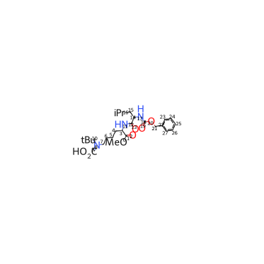 COC(=O)[C@@H](CCCCN(C(=O)O)C(C)(C)C)NC(=O)[C@@H](CC(C)C)NC(=O)OCc1ccccc1